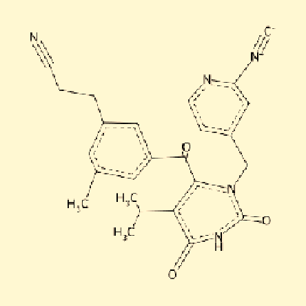 [C-]#[N+]c1cc(Cn2c(C(=O)c3cc(C)cc(CCC#N)c3)c(C(C)C)c(=O)[nH]c2=O)ccn1